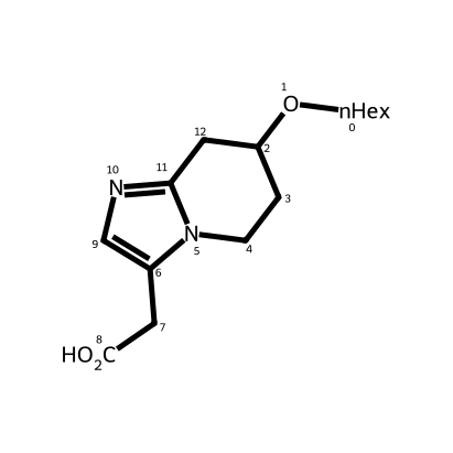 CCCCCCOC1CCn2c(CC(=O)O)cnc2C1